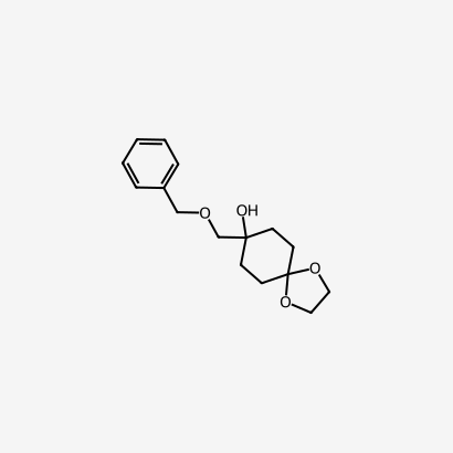 OC1(COCc2ccccc2)CCC2(CC1)OCCO2